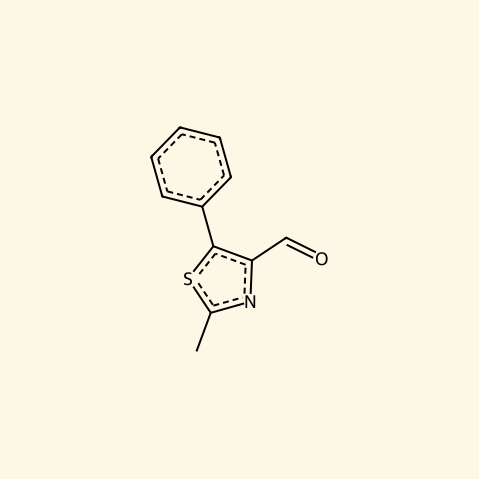 Cc1nc(C=O)c(-c2ccccc2)s1